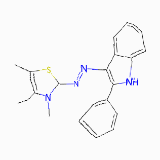 CC1=C(C)N(C)C(N=Nc2c(-c3ccccc3)[nH]c3ccccc23)S1